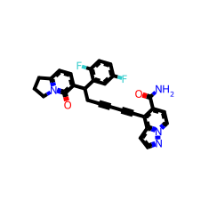 NC(=O)c1ccn2nccc2c1C#CC#CCC(c1cc(F)ccc1F)c1ccc2n(c1=O)CCC2